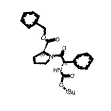 CC(C)(C)OC(=O)N[C@H](C(=O)N1CCC[C@H]1C(=O)OCc1ccccc1)c1ccccc1